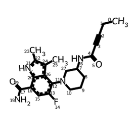 CCC#CC(=O)NC1CCCN(c2c(F)cc(C(N)=O)c3[nH]c(C)c(C)c23)C1